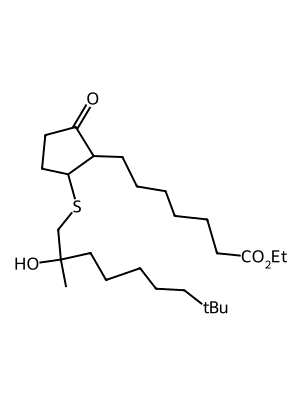 CCOC(=O)CCCCCCC1C(=O)CCC1SCC(C)(O)CCCCCC(C)(C)C